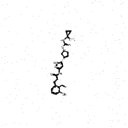 CC1(NC(=O)O[C@@H]2CC[C@H](c3cc(NC(=O)CCc4cccc(O)c4C=O)n[nH]3)C2)CC1